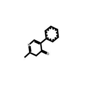 CC1=NC=C(c2ccccc2)C(=O)C1